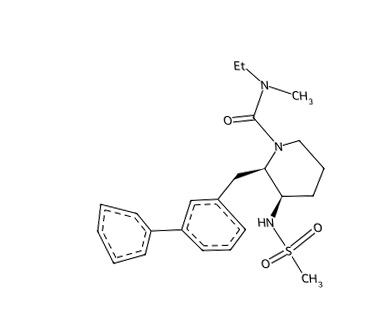 CCN(C)C(=O)N1CCC[C@@H](NS(C)(=O)=O)[C@H]1Cc1cccc(-c2ccccc2)c1